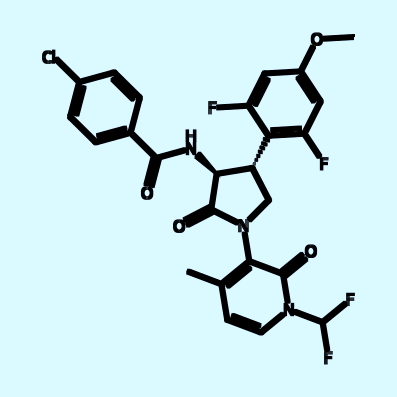 COc1cc(F)c([C@@H]2CN(c3c(C)ccn(C(F)F)c3=O)C(=O)[C@H]2NC(=O)c2ccc(Cl)cc2)c(F)c1